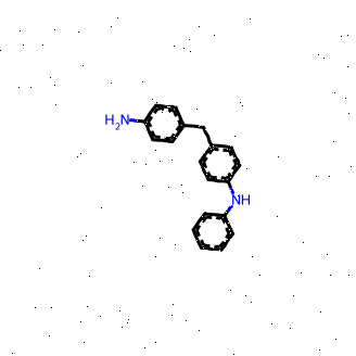 Nc1ccc(Cc2ccc(Nc3ccccc3)cc2)cc1